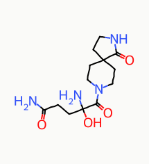 NC(=O)CCC(N)(O)C(=O)N1CCC2(CCNC2=O)CC1